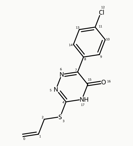 C=CCSc1nnc(-c2ccc(Cl)cc2)c(=O)[nH]1